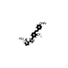 CCCOc1ccc(CCc2ccc(-c3noc([C@@H]4CCCN4C(=O)O)n3)cc2C(F)(F)F)cc1